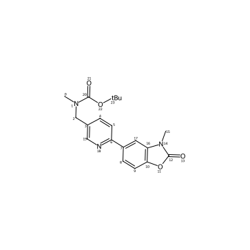 CN(Cc1ccc(-c2ccc3oc(=O)n(C)c3c2)nc1)C(=O)OC(C)(C)C